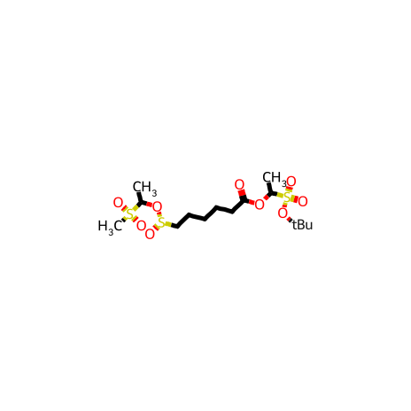 CC(OS(=O)CCCCCC(=O)OC(C)S(=O)(=O)OC(C)(C)C)S(C)(=O)=O